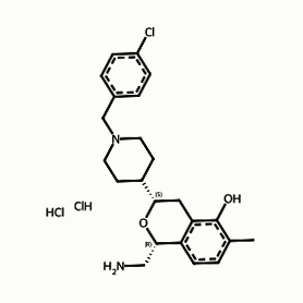 Cc1ccc2c(c1O)C[C@@H](C1CCN(Cc3ccc(Cl)cc3)CC1)O[C@H]2CN.Cl.Cl